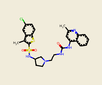 Cc1cc(NC(=O)NCCN2CCC(NS(=O)(=O)c3sc4ccc(Cl)cc4c3C)C2)c2ccccc2n1